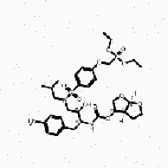 CCOP(=O)(COc1ccc(S(=O)(=O)N(CC(C)C)C[C@@H](O)[C@H](Cc2ccc(N)cc2)NC(=O)O[C@H]2CO[C@H]3OCC[C@H]32)cc1)OCC